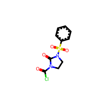 O=C(Cl)N1CCN(S(=O)(=O)c2ccccc2)C1=O